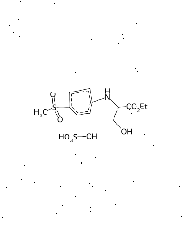 CCOC(=O)C(CO)Nc1ccc(S(C)(=O)=O)cc1.O=S(=O)(O)O